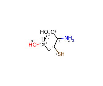 C[SiH](C)O.NC(CS)C(=O)O